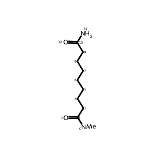 CNC(=O)[CH]CCCCCCC(N)=O